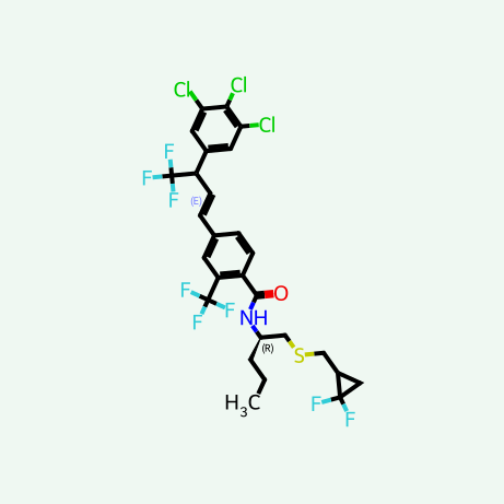 CCC[C@H](CSCC1CC1(F)F)NC(=O)c1ccc(/C=C/C(c2cc(Cl)c(Cl)c(Cl)c2)C(F)(F)F)cc1C(F)(F)F